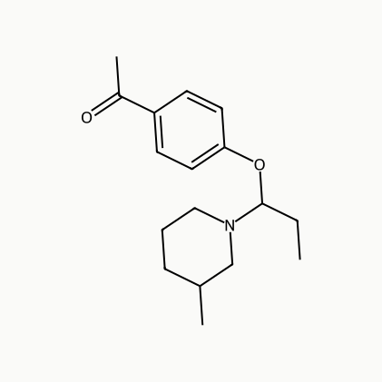 CCC(Oc1ccc(C(C)=O)cc1)N1CCCC(C)C1